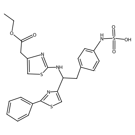 CCOC(=O)Cc1csc(NC(Cc2[c]cc(NS(=O)(=O)O)cc2)c2csc(-c3ccccc3)n2)n1